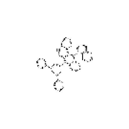 C1=CC2=c3c(-c4cccc5ccccc45)c4ccccc4c(-c4cc(-c5ccccc5)cc(-c5ccccc5)c4)c3=CNC2C=C1